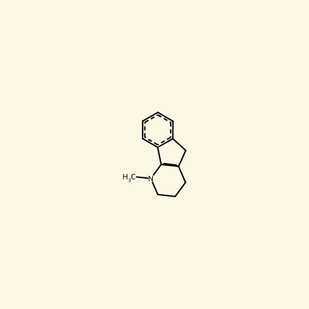 CN1CCCC23CCCCC12c1ccccc1C3